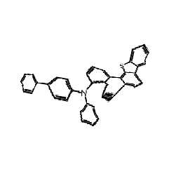 c1ccc(-c2ccc(N(c3ccccc3)c3cccc4c3ccc3ccc5c6ccccc6sc5c34)cc2)cc1